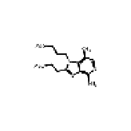 COCCc1nc2c(N)ncc(C)c2n1CCCSC